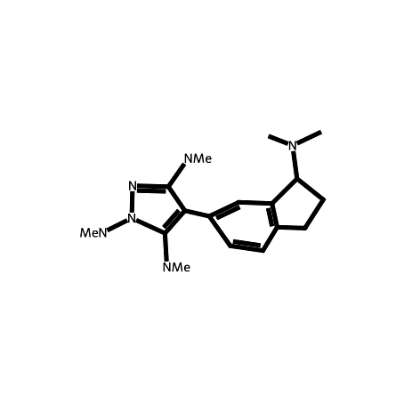 CNc1nn(NC)c(NC)c1-c1ccc2c(c1)C(N(C)C)CC2